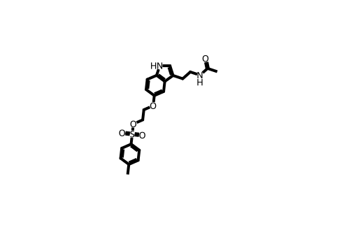 CC(=O)NCCc1c[nH]c2ccc(OCCOS(=O)(=O)c3ccc(C)cc3)cc12